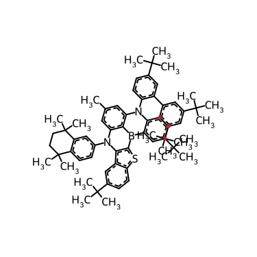 Cc1cc2c3c(c1)N(c1ccc4c(c1)C(C)(C)CCC4(C)C)c1c(sc4ccc(C(C)(C)C)cc14)B3c1cc(C(C)(C)C)ccc1N2c1ccc(C(C)(C)C)cc1-c1cc(C(C)(C)C)cc(C(C)(C)C)c1